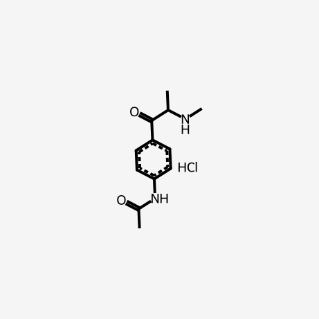 CNC(C)C(=O)c1ccc(NC(C)=O)cc1.Cl